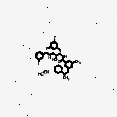 Cc1cc(CN(C)C2CCCCC2)cc(C(=O)N[C@@H](Cc2cc(F)cc(F)c2)[C@@H](O)CNCc2cccc(I)c2)c1.Cl.Cl